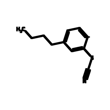 CCCCc1cc[c]c(SC#N)c1